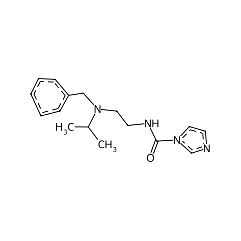 CC(C)N(CCNC(=O)n1ccnc1)Cc1ccccc1